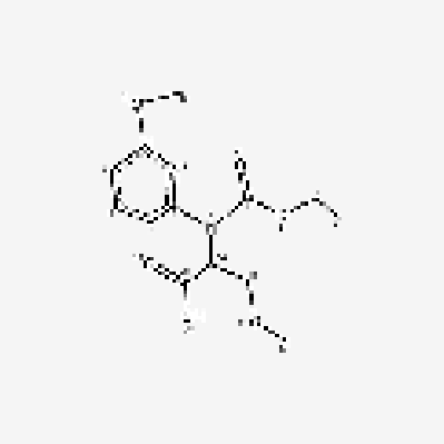 CCOC(=O)N(c1cccc(OC)c1)C(COC)C(=O)O